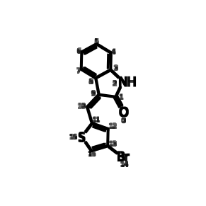 O=C1Nc2ccccc2C1=Cc1cc(Br)cs1